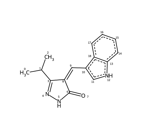 CC(C)C1=NNC(=O)/C1=C\c1c[nH]c2ccccc12